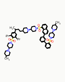 CC1CCN(C2CCN(S(=O)(=O)c3ccccc3-c3cccc(-c4ccc5cccc(S(=O)(=O)N6CCC(N7CCC(CCC(C)c8cc(C(C)C)c(S(=O)(=O)N9CCC(N%10CCC(C)CC%10)CC9)c(C(C)C)c8)CC7)CC6)c5c4)c3)CC2)CC1